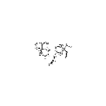 CCC1(CC)OC[C@@H](C(C=O)[C@@H]2COC(CC)(CC)O2)O1